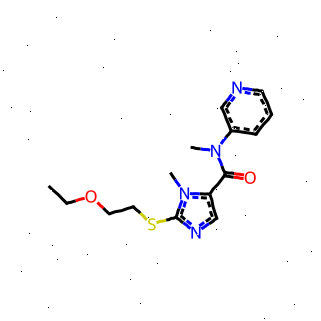 CCOCCSc1ncc(C(=O)N(C)c2cccnc2)n1C